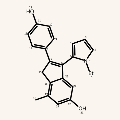 CCn1cccc1C1=C(c2ccc(O)cc2)Cc2c(C)cc(O)cc21